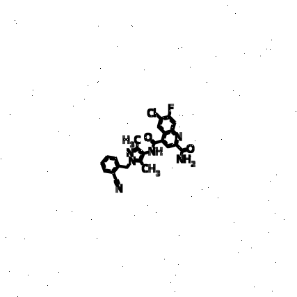 Cc1nn(Cc2ccccc2C#N)c(C)c1NC(=O)c1cc(C(N)=O)nc2cc(F)c(Cl)cc12